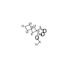 CCOC(=O)C1(C=O)CC2(CCC2)C1